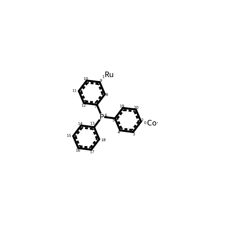 [Co].[Ru].c1ccc(P(c2ccccc2)c2ccccc2)cc1